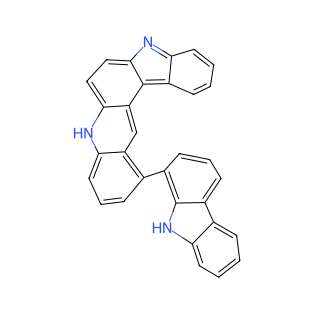 c1ccc2c(c1)nc1ccc3[nH]c4cccc(-c5cccc6c5[nH]c5ccccc56)c4cc3c12